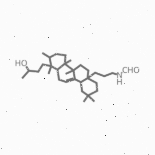 CC(O)CCC1(C)C(C)CCC2(C)C1CC=C1C3CC(C)(C)CCC3(CCCNC=O)CCC12C